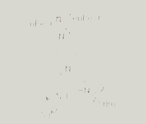 CCCCCn1cc[n+](CCCCC)c1/N=N/c1ccc(N(CCCNC(=O)OC(C)(C)C)CCCNC(=O)OC(C)(C)C)cc1